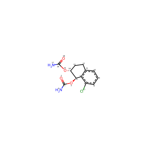 NC(=O)O[C@@H]1c2c(Cl)cccc2CC[C@H]1OC(N)=O